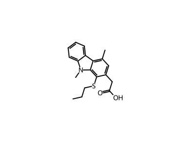 CCCSc1c(CC(=O)O)cc(C)c2c3ccccc3n(C)c12